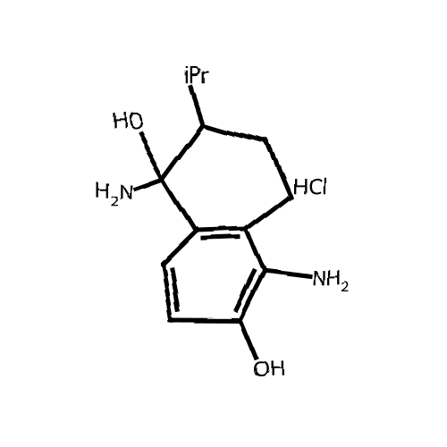 CC(C)C1CCc2c(ccc(O)c2N)C1(N)O.Cl